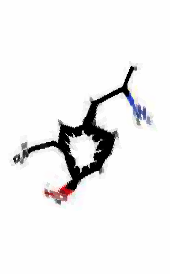 CC(N)Cc1ccc(O)c([N+](=O)[O-])c1